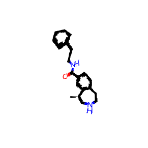 C[C@@H]1CNCCc2ccc(C(=O)NCCc3ccccc3)cc21